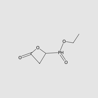 CCO[PH](=O)C1CC(=O)O1